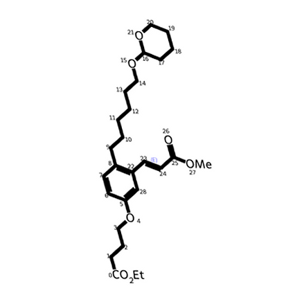 CCOC(=O)CCCOc1ccc(CCCCCCOC2CCCCO2)c(/C=C/C(=O)OC)c1